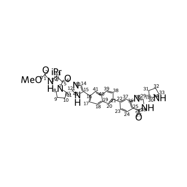 COC(=O)N[C@H](C(=O)N1CCC[C@H]1c1ncc(-c2ccc3cc(-c4ccc5c(=O)[nH]c([C@@H]6CCCN6)nc5c4)ccc3c2)[nH]1)C(C)C